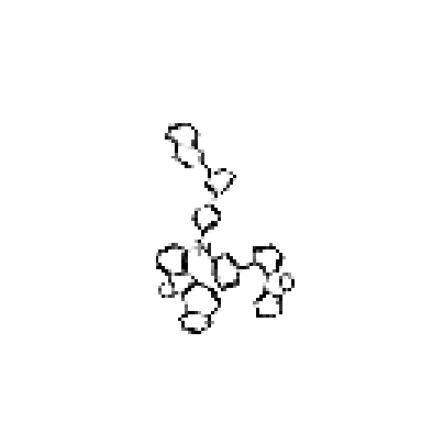 c1cc(-c2ccc(N(c3cccc(-c4cccc5oc6ccccc6c45)c3)c3cccc4oc5c6ccccc6ccc5c34)cc2)cc(-c2ccc3ccccc3c2)c1